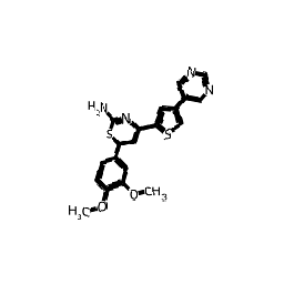 COc1ccc(C2CC(c3cc(-c4cncnc4)cs3)N=C(N)S2)cc1OC